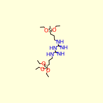 CCO[Si](C)(CCCNC(=N)NC(=N)NCCC[Si](OCC)(OCC)OCC)OCC